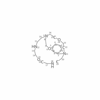 c1ccc2c(c1)OCCN1CCNCCOCCNCCN2CCOCC1